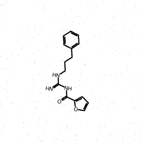 N=C(NCCCc1ccccc1)NC(=O)c1ccco1